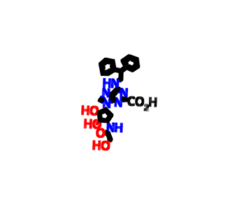 O=C(CO)N[C@H]1C[C@@H](n2cnc3c(NCC(c4ccccc4)c4ccccc4)nc(C(=O)O)nc32)[C@H](O)[C@@H]1O